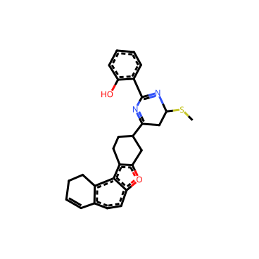 CSC1CC(C2CCc3c(oc4ccc5c(c34)CCC=C5)C2)=NC(c2ccccc2O)=N1